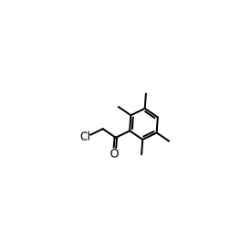 Cc1cc(C)c(C)c(C(=O)CCl)c1C